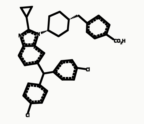 O=C(O)c1ccc(C[C@H]2CC[C@@H](n3c(C4CC4)nc4ccc(C(c5ccc(Cl)cc5)c5ccc(Cl)cc5)cc43)CC2)cc1